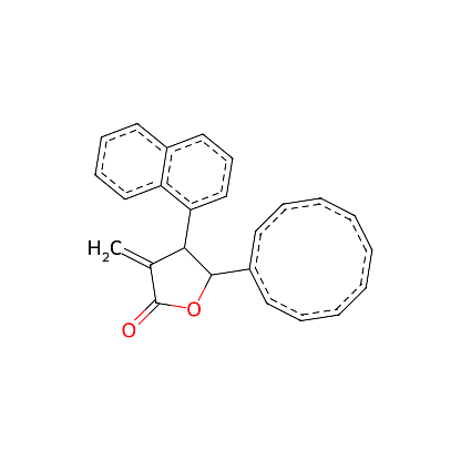 C=C1C(=O)OC(c2ccccccccc2)C1c1cccc2ccccc12